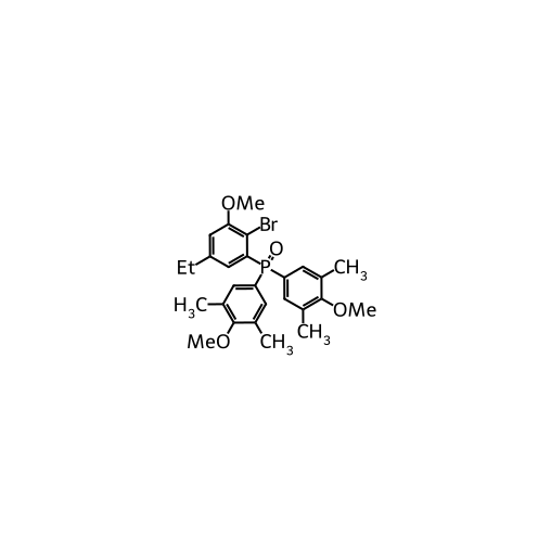 CCc1cc(OC)c(Br)c(P(=O)(c2cc(C)c(OC)c(C)c2)c2cc(C)c(OC)c(C)c2)c1